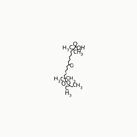 CCC(C)OC(=O)C(C)(C)CCCCCC(=O)CCCCCC(C)(C)C(=O)O